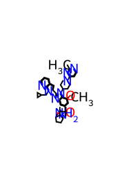 COc1cc(C(=O)N2CC3CCC2[C@@H]3N)cc2nc(-c3cc4cccnc4n3CC3CC3)n(C3CCN(c4ccnc(C)n4)CC3)c12